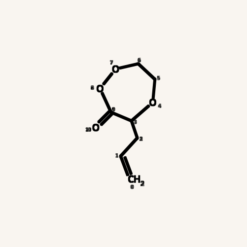 C=CCC1OCCOOC1=O